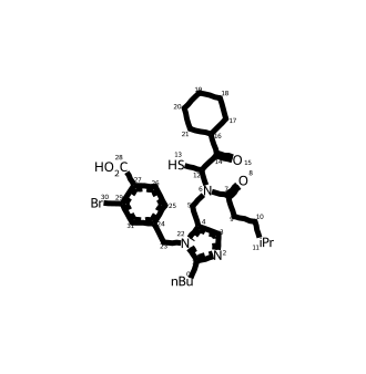 CCCCc1ncc(CN(C(=O)CCC(C)C)C(S)C(=O)C2CCCCC2)n1Cc1ccc(C(=O)O)c(Br)c1